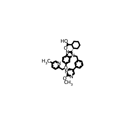 COc1ncc(-c2cccc(Cn3c([C@H]4CCCCC4C(=O)O)nc4ccc(OCc5ccc(C)cn5)cc43)c2)cn1